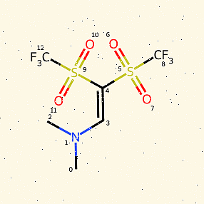 CN(C)C=C(S(=O)(=O)C(F)(F)F)S(=O)(=O)C(F)(F)F